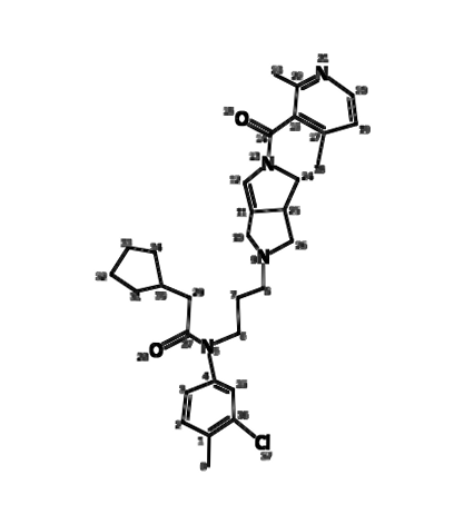 Cc1ccc(N(CCCN2CC3=CN(C(=O)c4c(C)ccnc4C)CC3C2)C(=O)CC2CCCC2)cc1Cl